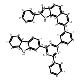 c1ccc(-c2nc(-c3cccc(-c4ccc5ccc6nc(-c7ccccc7)sc6c5c4)c3)nc(-c3ccc4c(c3)oc3ccccc34)n2)cc1